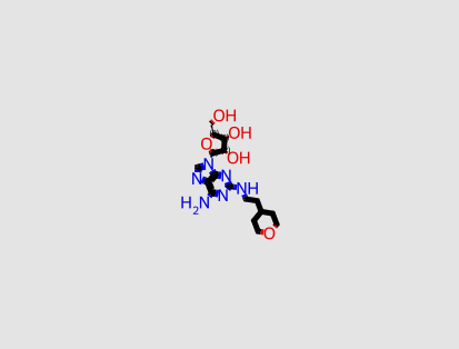 Nc1nc(NCCC2CCOCC2)nc2c1ncn2[C@@H]1O[C@H](CO)[C@@H](O)[C@H]1O